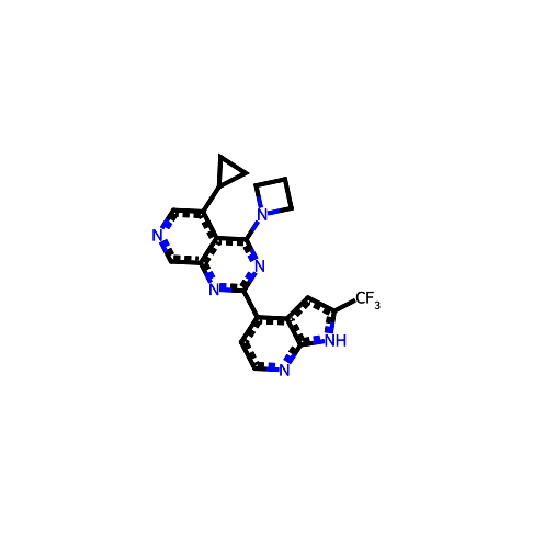 FC(F)(F)c1cc2c(-c3nc(N4CCC4)c4c(C5CC5)cncc4n3)ccnc2[nH]1